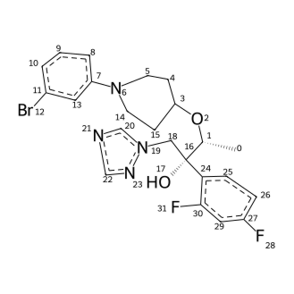 C[C@@H](OC1CCN(c2cccc(Br)c2)CC1)[C@](O)(Cn1cncn1)c1ccc(F)cc1F